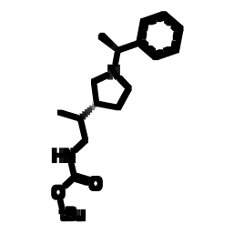 CC(CNC(=O)OC(C)(C)C)[C@H]1CCN([C@@H](C)c2ccccc2)C1